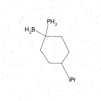 BC1(P)CCC(C(C)C)CC1